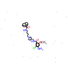 COc1cc(N)c(Cl)cc1C(=O)NC[C@H]1CCN(CCCCNC(=O)C23CC4CC(CC(C4)C2)C3)C1